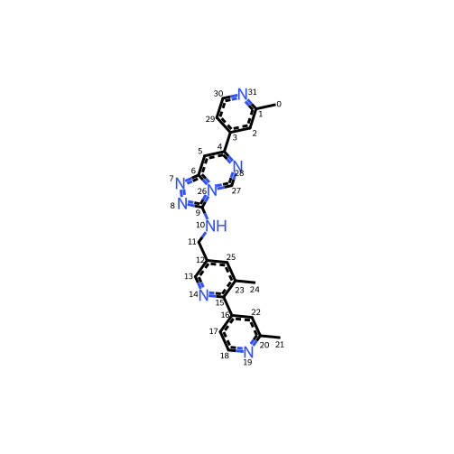 Cc1cc(-c2cc3nnc(NCc4cnc(-c5ccnc(C)c5)c(C)c4)n3cn2)ccn1